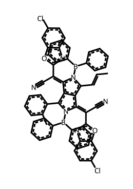 C/C=C/c1c2/c(=C(\C#N)c3nc4ccc(Cl)cc4o3)n(B(c3ccccc3)c3ccccc3)c(-c3ccccc3C)c2/c(=C(\C#N)c2nc3ccc(Cl)cc3o2)n1B(c1ccccc1)c1ccccc1